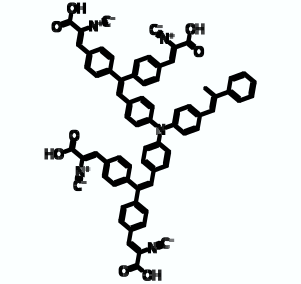 [C-]#[N+]/C(=C\c1ccc(C(=Cc2ccc(N(c3ccc(C=C(c4ccc(/C=C(\[N+]#[C-])C(=O)O)cc4)c4ccc(/C=C(\[N+]#[C-])C(=O)O)cc4)cc3)c3ccc(/C=C(\C)c4ccccc4)cc3)cc2)c2ccc(/C=C(\[N+]#[C-])C(=O)O)cc2)cc1)C(=O)O